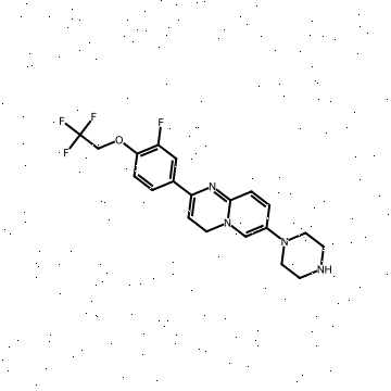 Fc1cc(C2=CCN3C=C(N4CCNCC4)C=CC3=N2)ccc1OCC(F)(F)F